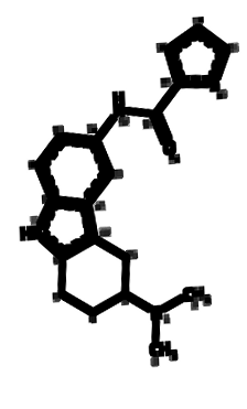 CN(C)C1CCc2[nH]c3ccc(NC(=O)c4cccs4)cc3c2C1